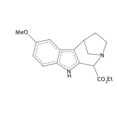 CCOC(=O)C1c2[nH]c3ccc(OC)cc3c2C2CCN1C2